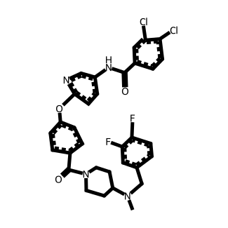 CN(Cc1ccc(F)c(F)c1)C1CCN(C(=O)c2ccc(Oc3ccc(NC(=O)c4ccc(Cl)c(Cl)c4)cn3)cc2)CC1